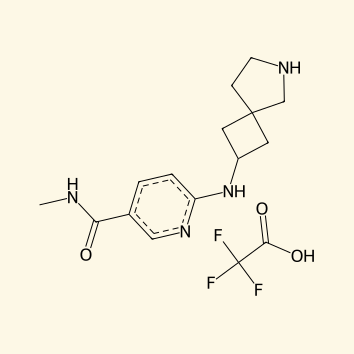 CNC(=O)c1ccc(NC2CC3(CCNC3)C2)nc1.O=C(O)C(F)(F)F